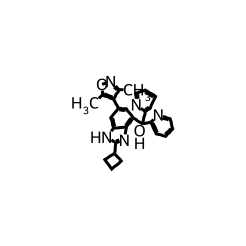 Cc1noc(C)c1-c1cc(C(O)(c2ccccn2)c2ccccn2)c2nc(C3CCC3)[nH]c2c1